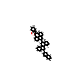 c1ccc2cc(-c3cc4c5ccccc5c(-c5cc6cccc7c8c9ccccc9oc8c8cccc5c8c67)cc4c4ccccc34)ccc2c1